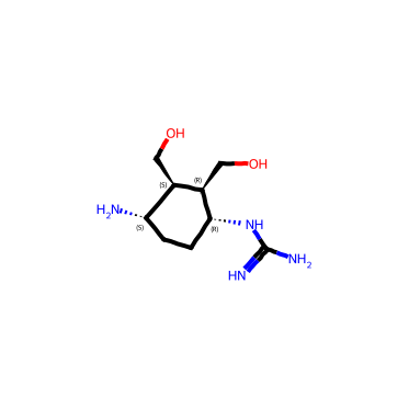 N=C(N)N[C@@H]1CC[C@H](N)[C@@H](CO)[C@H]1CO